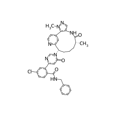 C[C@@H]1CCC[C@H](n2cnc(-c3cc(Cl)ccc3C(=O)NCc3ccccc3)cc2=O)c2cc(ccn2)-c2c(cnn2C)NC1=O